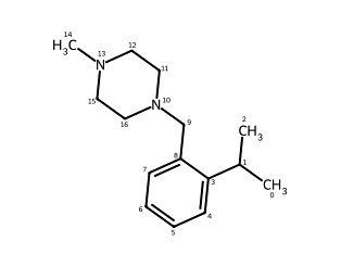 CC(C)c1ccccc1CN1CCN(C)CC1